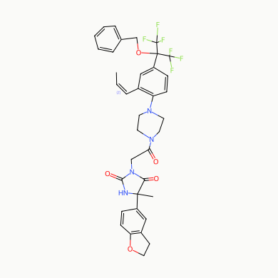 C/C=C\c1cc(C(OCc2ccccc2)(C(F)(F)F)C(F)(F)F)ccc1N1CCN(C(=O)CN2C(=O)NC(C)(c3ccc4c(c3)CCO4)C2=O)CC1